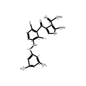 CNc1[nH]cc(C(=O)c2c(F)ccc(NSc3cc(C)cc(C)c3)c2F)c1C(=N)OC